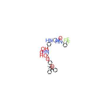 CC(C)(C)[Si](Oc1ccc(OC[C@@H](O)CNCCc2ccc(NC3CCN(C(=O)NCc4ccccc4C(F)(F)F)CC3)cc2)cc1)(c1ccccc1)c1ccccc1.O=CO